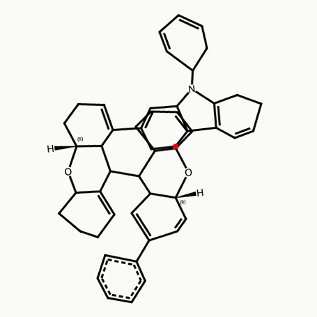 C1=CCC(N2C3=C(C=CCC3)C3CCC(C4=CCC[C@H]5OC6CCCC=C6C(C6C7CCC=CC7O[C@@H]7C=CC(c8ccccc8)=CC67)C45)=CC32)C=C1